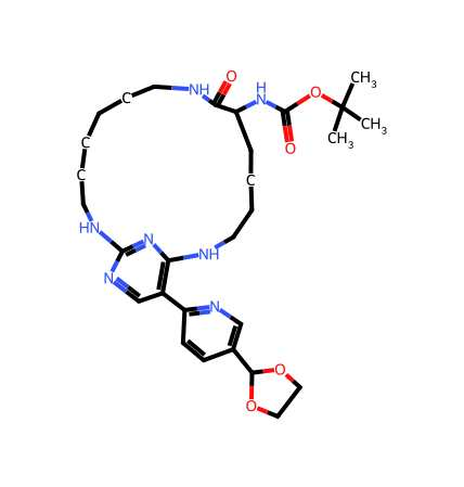 CC(C)(C)OC(=O)NC1CCCCNc2nc(ncc2-c2ccc(C3OCCO3)cn2)NCCCCCCNC1=O